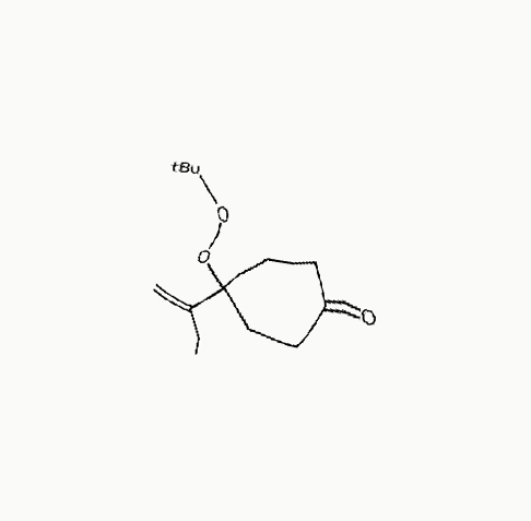 C=C(C)C1(OOC(C)(C)C)CCC(=O)CC1